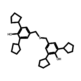 Oc1c(C2CCCC2)cc(CSCc2cc(C3CCCC3)c(O)c(C3CCCC3)c2)cc1C1CCCC1